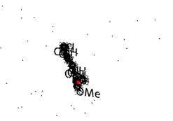 COc1ccc(CN(CCC(=O)Nc2ccc(N3CCN(C(=O)Nc4c(Cl)cccc4Cl)CC3)cc2)S(=O)(=O)c2ccccc2[N+](=O)[O-])cc1